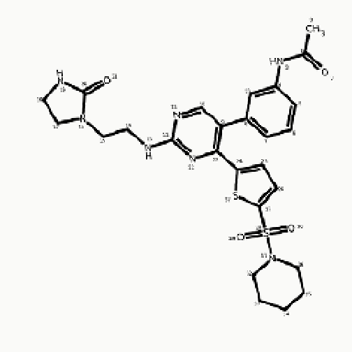 CC(=O)Nc1cccc(-c2cnc(NCCN3CCNC3=O)nc2-c2ccc(S(=O)(=O)N3CCCCC3)s2)c1